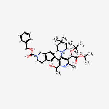 Cc1nc(C(C)O)c(-c2ccc3c(c2)CCN(C(=O)OCc2ccccc2)C3)c(N2CCC(C)(C)CC2)c1[C@H](OC(C)(C)C)C(=O)OC(C)C